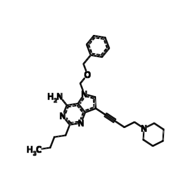 CCCCc1nc(N)c2c(n1)c(C#CCCN1CCCCC1)cn2COCc1ccccc1